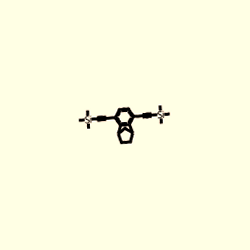 C[Si](C)(C)C#Cc1ccc(C#C[Si](C)(C)C)c2c1C1CCC2C1